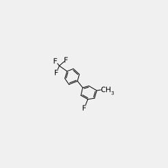 Cc1cc(F)cc(-c2ccc(C(F)(F)F)cc2)c1